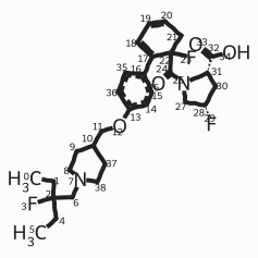 CCC(F)(CC)CN1CCC(COc2ccc(C3=CC=CCC3(F)C(=O)N3C[C@@H](F)C[C@H]3C(=O)O)cc2)CC1